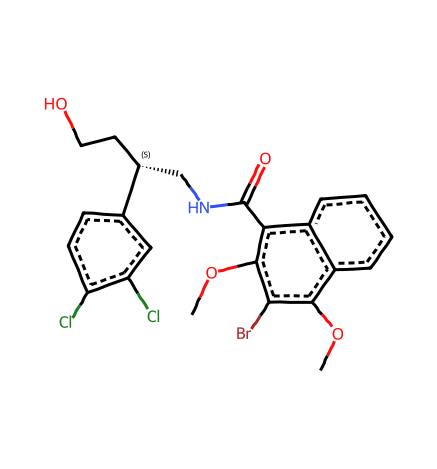 COc1c(Br)c(OC)c2ccccc2c1C(=O)NC[C@@H](CCO)c1ccc(Cl)c(Cl)c1